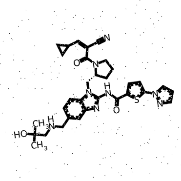 CC(C)(O)CNCc1ccc2c(c1)nc(NC(=O)c1ccc(-n3cccn3)s1)n2C[C@H]1CCCN1C(=O)/C(C#N)=C\C1CC1